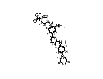 Nc1cc(-c2ccnc(Nc3ccc(N4CCOCC4)cc3)n2)ccc1OC1CCN(C(=O)C(F)(F)F)CC1